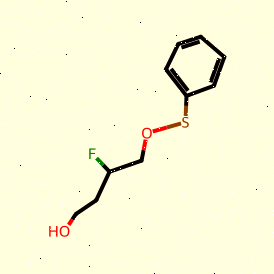 OCCC(F)COSc1ccccc1